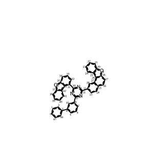 c1ccc(-c2cccc(-c3nc(-c4ccc5ccc6oc7ccccc7c6c5c4)nc(-c4cccc5oc6ccccc6c45)n3)c2)cc1